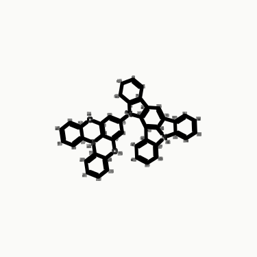 C1=Cc2c(n(-c3cc4c5c(c3)Oc3ccccc3B5c3ccccc3O4)c3c2cc2c4ccccc4n4c5ccccc5c3c24)CC1